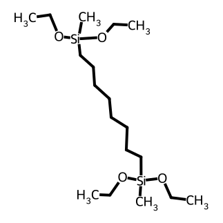 CCO[Si](C)(CCCCCCCC[Si](C)(OCC)OCC)OCC